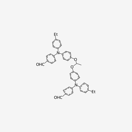 CCc1ccc(N(c2ccc(C=O)cc2)c2ccc(OC(C)Oc3ccc(N(c4ccc(C=O)cc4)c4ccc(CC)cc4)cc3)cc2)cc1